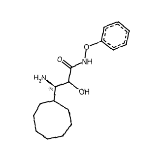 N[C@H](C1CCCCCCC1)C(O)C(=O)NOc1ccccc1